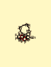 Fc1c(F)c(F)c(-c2c(-c3c(F)c(F)c(F)c(F)c3F)c3c(-c4c(F)c(F)c(F)c(F)c4F)c4nc(cc5ccc(cc6nc(cc2n3-c2c(F)c(F)c(F)c(F)c2F)C=C6)[nH]5)C=C4)c(F)c1F.[Zn]